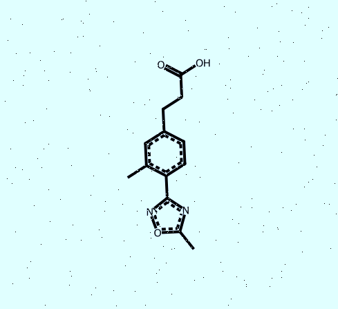 Cc1nc(-c2ccc(CCC(=O)O)cc2C)no1